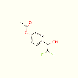 CC(=O)Oc1ccc(C(O)C(F)F)cc1